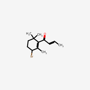 CC=CC(=O)C1=C(C)C(Br)CCC1(C)C